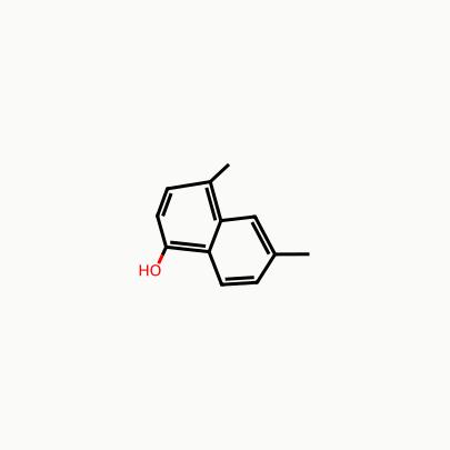 Cc1ccc2c(O)ccc(C)c2c1